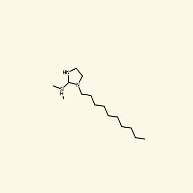 CCCCCCCCCCN1CCNC1[SiH](C)C